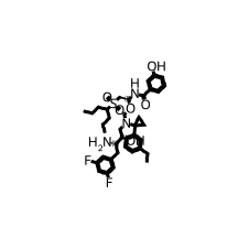 CCCC(CCC)S(=O)(=O)C[C@@H](NC(=O)c1cccc(O)c1)OCN(C[C@@H](O)[C@@H](N)Cc1cc(F)cc(F)c1)C1(c2cccc(CC)c2)CC1